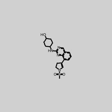 CS(=O)(=O)N1C=C(c2cccc3cnc(NC4CCC(O)CC4)nc23)CC1